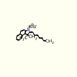 C=C/C=C/C=C/C=C1/N(CCCC)c2ccc3ccccc3c2C1(C)C